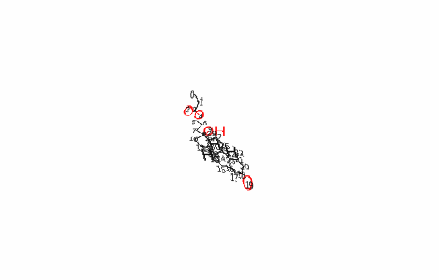 CCC(=O)OCCCC1(O)CC[C@H]2[C@@H]3CCC4=CC(=O)CC(C)[C@]4(C)[C@@H]3CC[C@@]21C